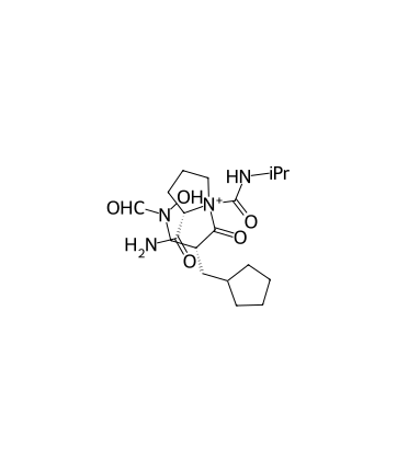 CC(C)NC(=O)[N+]1(C(=O)[C@H](CC2CCCC2)CN(O)C=O)CCC[C@H]1C(N)=O